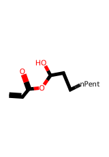 C=CC(=O)OC(O)CCCCCCC